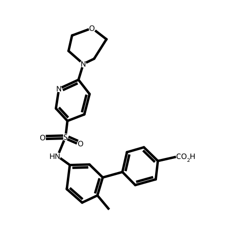 Cc1ccc(NS(=O)(=O)c2ccc(N3CCOCC3)nc2)cc1-c1ccc(C(=O)O)cc1